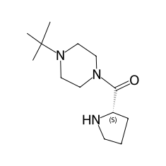 CC(C)(C)N1CCN(C(=O)[C@@H]2CCCN2)CC1